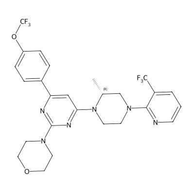 C[C@@H]1CN(c2ncccc2C(F)(F)F)CCN1c1cc(-c2ccc(OC(F)(F)F)cc2)nc(N2CCOCC2)n1